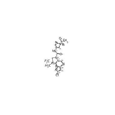 C[C@@]1(C(F)(F)F)CN(C(=O)Nc2cnn(S(C)(=O)=O)c2)c2cnc3cc(Cl)nn3c21